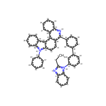 CCc1nc2ccccc2n1-c1cccc(-c2cccc(-c3nc4ccccc4c4c3ccc3c4c4ccccc4n3-c3ccccc3)c2)c1